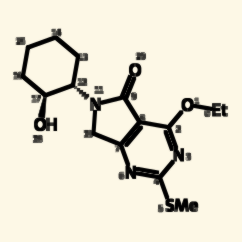 CCOc1nc(SC)nc2c1C(=O)N([C@H]1CCCC[C@@H]1O)C2